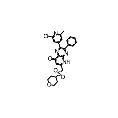 Cc1cc(-c2nc3c(=O)cc(CS(=O)(=O)C4CCOCC4)[nH]c3nc2-c2ccccc2)cc(Cl)n1